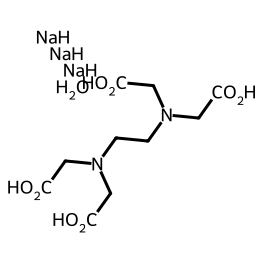 O.O=C(O)CN(CCN(CC(=O)O)CC(=O)O)CC(=O)O.[NaH].[NaH].[NaH]